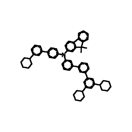 CC1(C)c2ccccc2-c2ccc(N(c3ccc(-c4cccc(C5CCCCC5)c4)cc3)c3cccc(-c4cccc(-c5cc(C6CCCCC6)cc(C6CCCCC6)c5)c4)c3)cc21